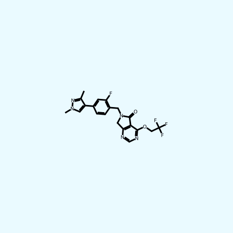 Cc1nn(C)cc1-c1ccc(CN2Cc3ncnc(OCC(F)(F)F)c3C2=O)c(F)c1